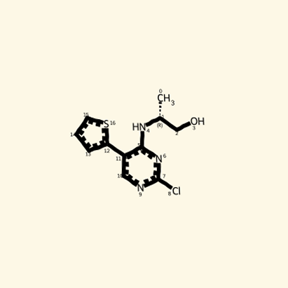 C[C@H](CO)Nc1nc(Cl)ncc1-c1cccs1